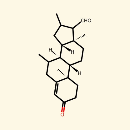 CC1C[C@H]2[C@@H]3C(C)CC4=CC(=O)CC[C@]4(C)[C@H]3CC[C@]2(C)C1C=O